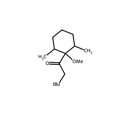 COC1(C(=O)CC(C)(C)C)C(C)CCCC1C